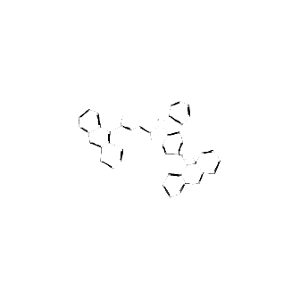 C/C(=C\C=C(/C)P(=O)(c1ccccc1)c1ccc(C2c3ccccc3C=C3C=CC=CC32C)cc1)c1c2ccccc2cc2ccccc12